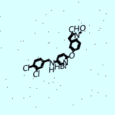 Br.Cn1c(C=O)cc2cc(Oc3ccc(NCc4ccc(Cl)c(Cl)c4)cn3)ccc21